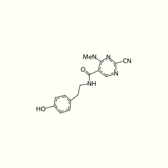 CNc1nc(C#N)ncc1C(=O)NCCc1ccc(O)cc1